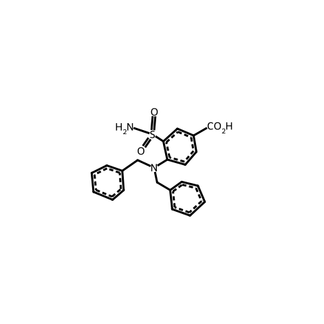 NS(=O)(=O)c1cc(C(=O)O)ccc1N(Cc1ccccc1)Cc1ccccc1